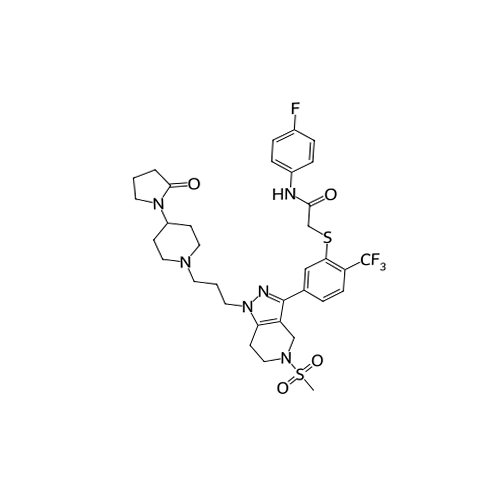 CS(=O)(=O)N1CCc2c(c(-c3ccc(C(F)(F)F)c(SCC(=O)Nc4ccc(F)cc4)c3)nn2CCCN2CCC(N3CCCC3=O)CC2)C1